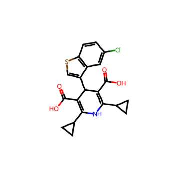 O=C(O)C1=C(C2CC2)NC(C2CC2)=C(C(=O)O)C1c1csc2ccc(Cl)cc12